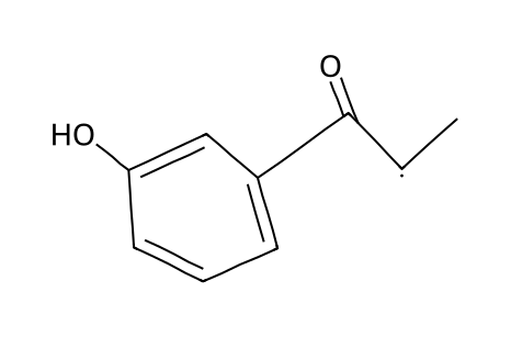 C[CH]C(=O)c1cccc(O)c1